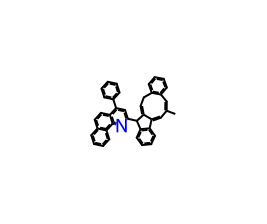 CC1=C/c2ccccc2C\C=C2/C(=C\1)c1ccccc1C2c1cc(-c2ccccc2)c2ccc3ccccc3c2n1